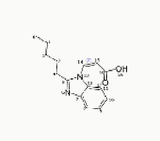 CCCCCc1nc2ccccc2n1/C=C\C(=O)O